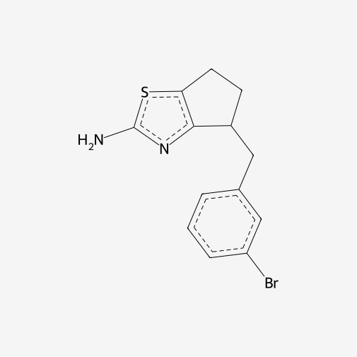 Nc1nc2c(s1)CCC2Cc1cccc(Br)c1